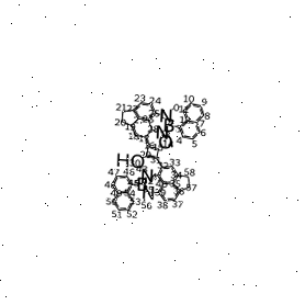 CN1B(c2cccc3ccccc23)N2OC3C(=C4C=C5CCc6ccc1c(c65)C42)C(O)=C3c1cc2c3c(ccc4c3c1N(C)B(c1cccc3ccccc13)N4C)CC2